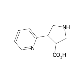 O=C(O)C1CNCC1c1ccccn1